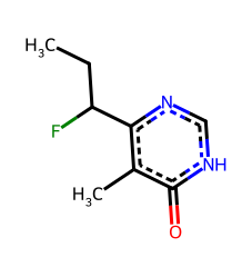 CCC(F)c1nc[nH]c(=O)c1C